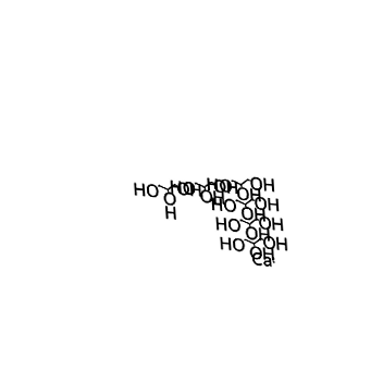 OCC(O)CO.OCC(O)CO.OCC(O)CO.OCC(O)CO.OCC(O)CO.OCC(O)CO.[Ca]